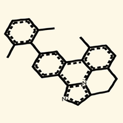 Cc1cccc(C)c1-c1ccc2c(c1)c1c(C)ccc3c1n1c(cnc21)CC3